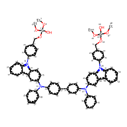 CCO[Si](O)(OCC)OCc1ccc(-n2c3ccccc3c3cc(N(c4ccccc4)c4ccc(-c5ccc(N(c6ccccc6)c6ccc7c(c6)c6ccccc6n7-c6ccc(CO[Si](O)(OCC)OCC)cc6)cc5)cc4)ccc32)cc1